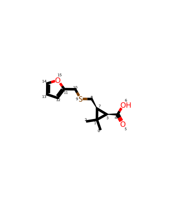 CC1(C)[C@H](C(=O)O)[C@@H]1CSCc1ccco1